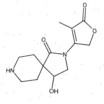 CC1=C(N2CC(O)C3(CCNCC3)C2=O)COC1=O